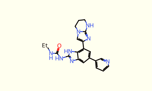 CCNC(=O)Nc1nc2cc(-c3cccnc3)cc(-c3cn4c(n3)NCCC4)c2[nH]1